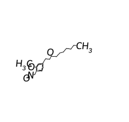 CCCCCCCC(=O)CCc1ccc(CN=O)c(OC)c1